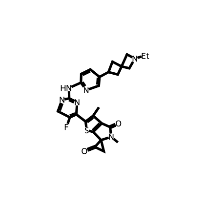 CCN1CC2(CC(c3ccc(Nc4ncc(F)c(-c5sc6c(c5C)C(=O)N(C)C65CC5=O)n4)nc3)C2)C1